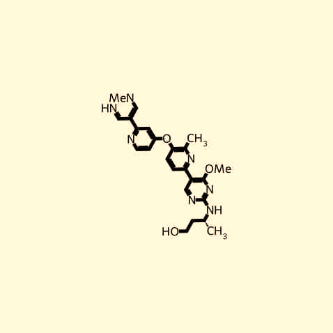 CN/C=C(\C=N)c1cc(Oc2ccc(-c3cnc(N[C@H](C)CCO)nc3OC)nc2C)ccn1